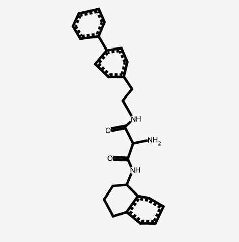 NC(C(=O)NCCc1ccc(-c2ccccc2)cc1)C(=O)NC1CCCc2ccccc21